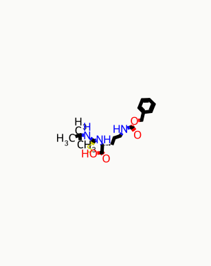 CC(C)(C)NC(=S)N[C@H](CCCNC(=O)OCc1ccccc1)C(=O)O